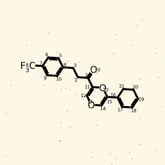 O=C(CCc1ccc(C(F)(F)F)cc1)C1=COC=C(C2=CC=CCC2)O1